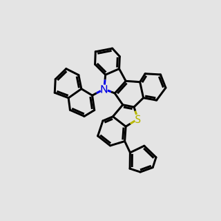 c1ccc(-c2cccc3c2sc2c4ccccc4c4c5ccccc5n(-c5cccc6ccccc56)c4c32)cc1